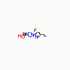 C/C=C/c1cnc(N2CCN(B(C)O)CC2)c(F)c1